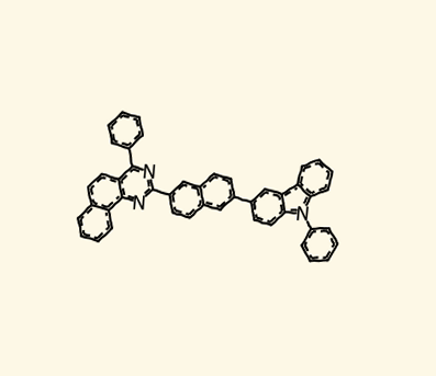 c1ccc(-c2nc(-c3ccc4cc(-c5ccc6c(c5)c5ccccc5n6-c5ccccc5)ccc4c3)nc3c2ccc2ccccc23)cc1